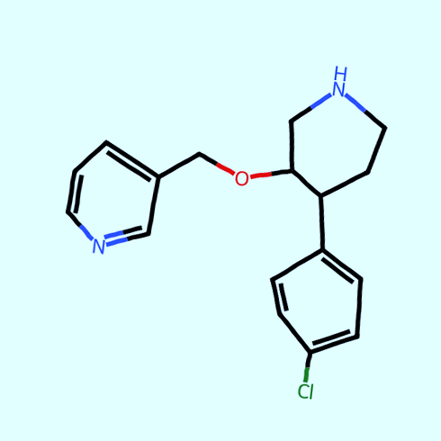 Clc1ccc(C2CCNCC2OCc2cccnc2)cc1